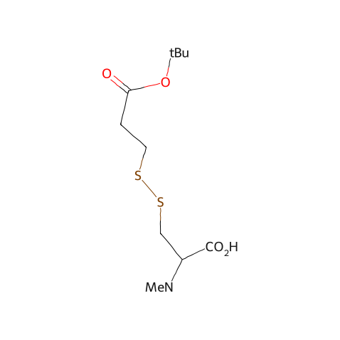 CNC(CSSCCC(=O)OC(C)(C)C)C(=O)O